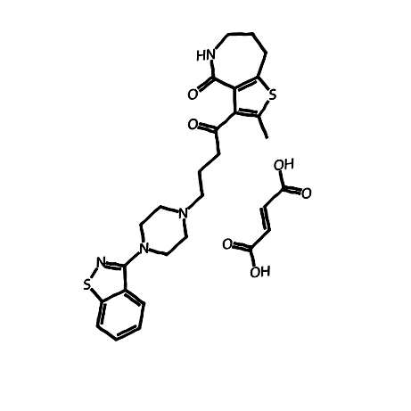 Cc1sc2c(c1C(=O)CCCN1CCN(c3nsc4ccccc34)CC1)C(=O)NCCC2.O=C(O)C=CC(=O)O